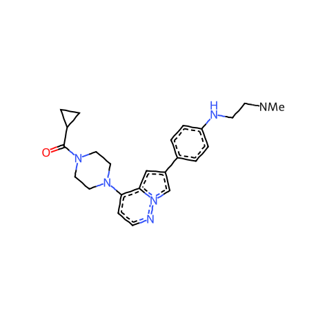 CNCCNc1ccc(-c2cc3c(N4CCN(C(=O)C5CC5)CC4)ccnn3c2)cc1